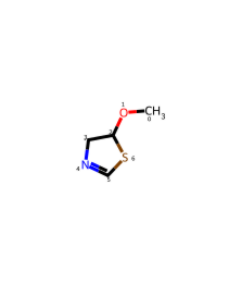 COC1[CH]N=CS1